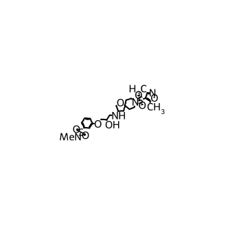 CNS(=O)(=O)c1cccc(OCC(O)CNC2COC3(CCN(S(=O)(=O)c4c(C)noc4C)CC3)C2)c1